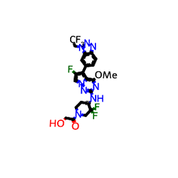 COc1nc(N[C@@H]2CCN(C(=O)CO)CC2(F)F)nn2cc(F)c(-c3ccc4nnn(CC(F)(F)F)c4c3)c12